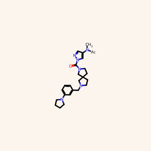 CC(=O)N(C)c1cnn(C(=O)N2CCC3(CCN(Cc4cccc(N5CCCC5)c4)C3)C2)c1